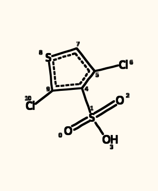 O=S(=O)(O)c1c(Cl)csc1Cl